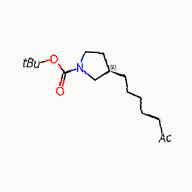 CC(=O)CCCCC[C@@H]1CCN(C(=O)OC(C)(C)C)C1